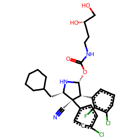 N#C[C@]1(c2ccc(Cl)cc2)[C@H](CC2CCCCC2)N[C@H](OC(=O)NCC[C@H](O)CO)[C@@H]1c1cccc(Cl)c1F